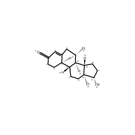 CC[C@H]1CC2=CC(=O)CC[C@@H]2[C@H]2CC[C@]3(CC)[C@@H](C#N)CC[C@H]3[C@H]12